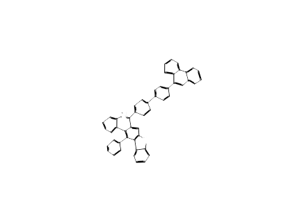 c1ccc(-c2c3c(cc4c(-c5ccc(-c6ccc(-c7cc8ccccc8c8ccccc78)cc6)cc5)nc5ccccc5c24)oc2ccccc23)cc1